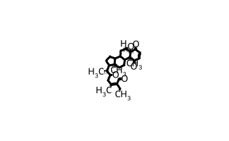 CCC1=C(C)CC([C@@H](C)C2CCC3C4C[C@H]5O[C@]56C(=O)C=CC(=O)[C@]6(C)C4CC[C@@]32C)OC1=O